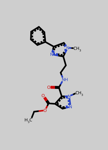 CCOC(=O)c1cnn(C)c1C(=O)NCCc1nc(-c2ccccc2)cn1C